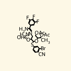 CC(=O)OCC(OC(Sc1ccc(C#N)c(Br)c1)C(CN(N)/C=C(\N)c1cc(F)c(F)c(F)c1)OC=O)C(C)OC(C)=O